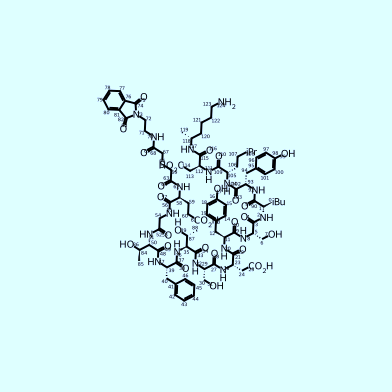 CC[C@H](C)[C@H](NC(=O)[C@H](CO)NC(=O)[C@H](Cc1ccc(O)cc1)NC(=O)[C@H](CC(=O)O)NC(=O)[C@H](CO)NC(=O)[C@@H](NC(=O)[C@H](Cc1ccccc1)NC(=O)[C@@H](NC(=O)CNC(=O)[C@H](CCC(=O)O)NC(=O)CSCC(=O)NCCN1C(=O)c2ccccc2C1=O)[C@@H](C)O)[C@@H](C)O)C(=O)N[C@@H](Cc1ccc(O)cc1)C(=O)N[C@@H](CCC(C)C)C(=O)N[C@@H](CC(=O)O)C(=O)N[C@H](C)CCCCN